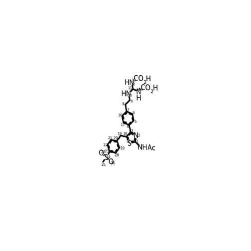 CC(=O)Nc1nc(-c2ccc(CCNC(NC(=O)O)NC(=O)O)cc2)c(Cc2ccc(S(C)(=O)=O)cc2)s1